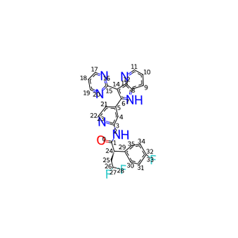 O=C(Nc1cc(-c2[nH]c3cccnc3c2-c2ncccn2)ccn1)[C@H](CC(F)F)c1ccc(F)cc1